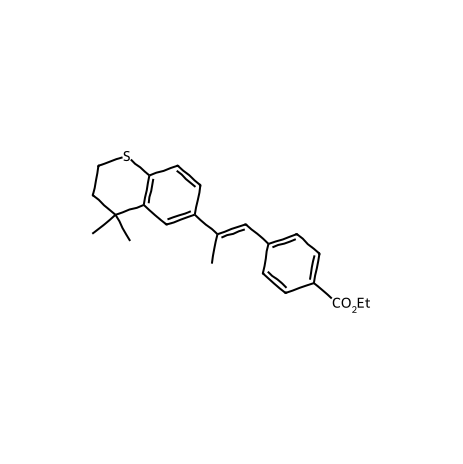 CCOC(=O)c1ccc(C=C(C)c2ccc3c(c2)C(C)(C)CCS3)cc1